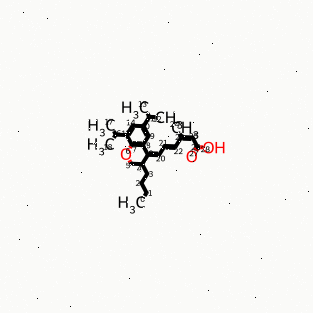 CCCCC1COc2c(cc(C(C)C)cc2C(C)C)\C1=C/C=C/C(C)=C\C(=O)O